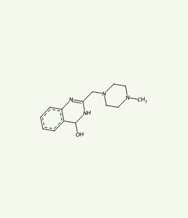 CN1CCN(CC2=Nc3ccccc3C(O)N2)CC1